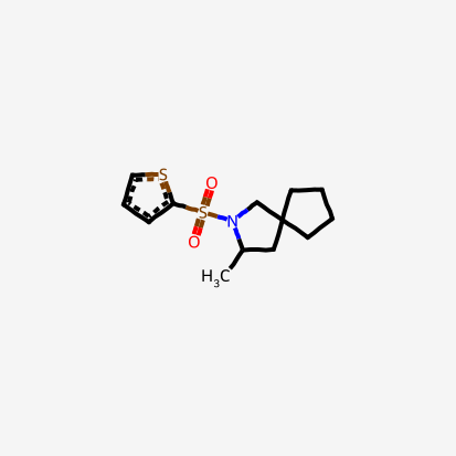 CC1CC2(CCCC2)CN1S(=O)(=O)c1cccs1